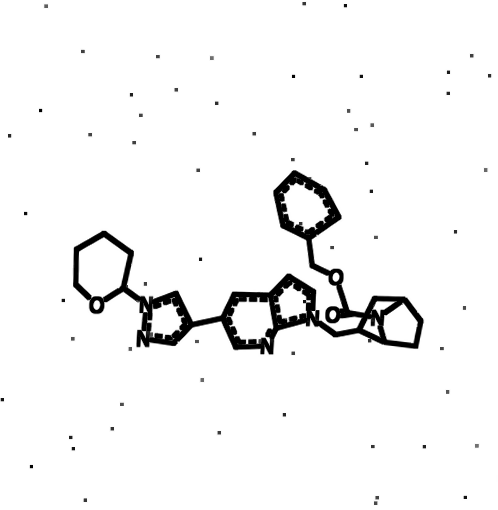 O=C(OCc1ccccc1)N1C2CCC1C(Cn1ccc3cc(-c4cnn(C5CCCCO5)c4)cnc31)C2